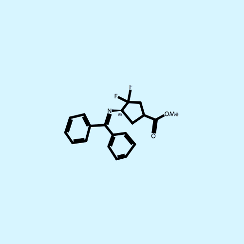 COC(=O)C1C[C@@H](N=C(c2ccccc2)c2ccccc2)C(F)(F)C1